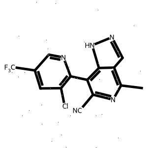 Cc1nc(C#N)c(-c2ncc(C(F)(F)F)cc2Cl)c2[nH]ncc12